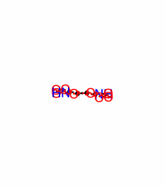 COC(=O)c1ccc(C(=O)Nc2ccc(COc3ccc(C#Cc4ccc(OCc5ccc(NC(=O)c6ccc(C(=O)OC)cc6)cc5)cc4)cc3)cc2)cc1